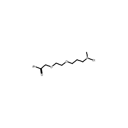 CCN(C)CCCOCCOCC(=O)C(C)C